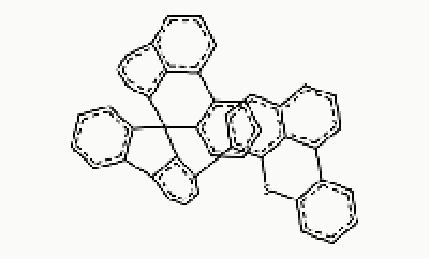 c1ccc2c(c1)Sc1c(-c3cccc4c3C3(c5ccccc5-4)c4ccccc4-c4cccc5cccc3c45)ccc3cccc-2c13